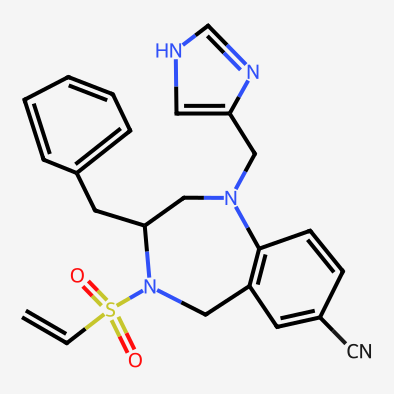 C=CS(=O)(=O)N1Cc2cc(C#N)ccc2N(Cc2c[nH]cn2)CC1Cc1ccccc1